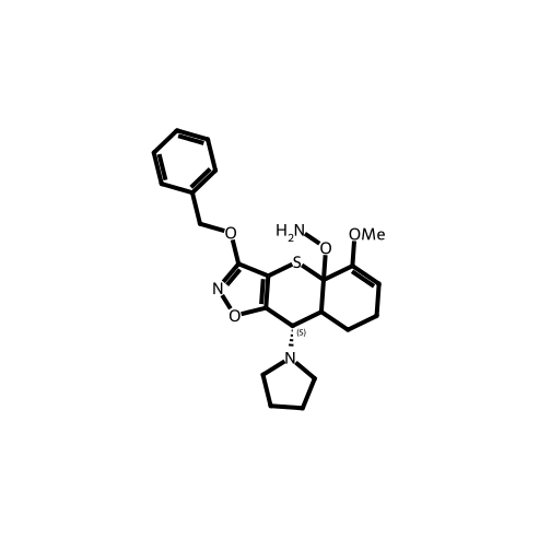 COC1=CCCC2[C@H](N3CCCC3)c3onc(OCc4ccccc4)c3SC12ON